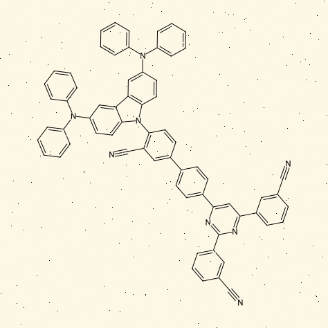 N#Cc1cccc(-c2cc(-c3ccc(-c4ccc(-n5c6ccc(N(c7ccccc7)c7ccccc7)cc6c6cc(N(c7ccccc7)c7ccccc7)ccc65)c(C#N)c4)cc3)nc(-c3cccc(C#N)c3)n2)c1